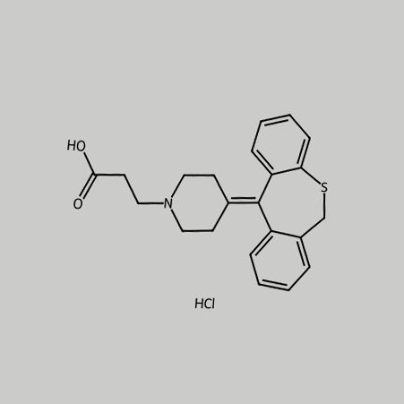 Cl.O=C(O)CCN1CCC(=C2c3ccccc3CSc3ccccc32)CC1